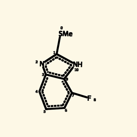 CSc1nc2cccc(F)c2[nH]1